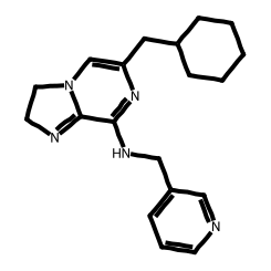 C1=C(CC2CCCCC2)N=C(NCc2cccnc2)C2=NCCN12